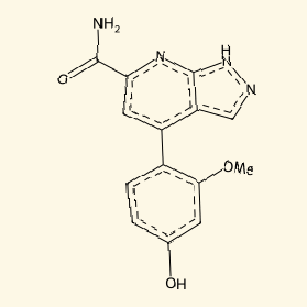 COc1cc(O)ccc1-c1cc(C(N)=O)nc2[nH]ncc12